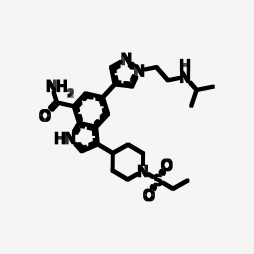 CCS(=O)(=O)N1CCC(c2c[nH]c3c(C(N)=O)cc(-c4cnn(CCNC(C)C)c4)cc23)CC1